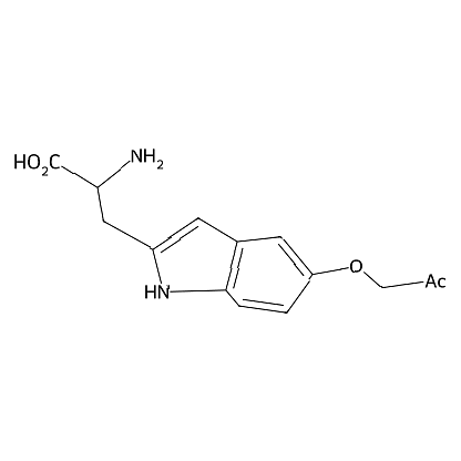 CC(=O)COc1ccc2[nH]c(CC(N)C(=O)O)cc2c1